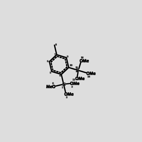 CO[Si](OC)(OC)c1ccc(C)cc1[Si](OC)(OC)OC